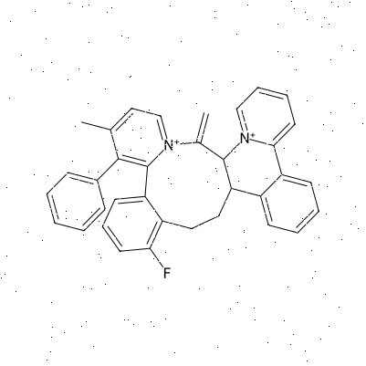 C=C1C2C(CCc3c(F)cccc3-c3c(-c4ccccc4)c(C)cc[n+]31)c1ccccc1-c1cccc[n+]12